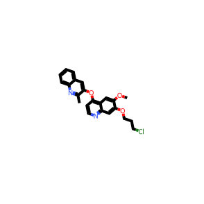 COc1cc2c(Oc3cc4ccccc4nc3C)ccnc2cc1OCCCCl